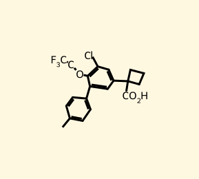 Cc1ccc(-c2cc(C3(C(=O)O)CCC3)cc(Cl)c2OCC(F)(F)F)cc1